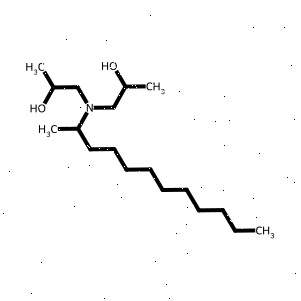 CCCCCCCCCCC(C)N(CC(C)O)CC(C)O